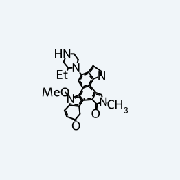 CCC1CNCCN1c1cc2c(c3c1=CC=N3)c1c(c3c4c(n(OC)c32)C=CC(=O)C4)C(=O)N(C)C=1